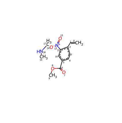 C=Cc1ccc(C(=O)OC)cc1[N+](=O)[O-].CNC